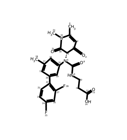 CC1=CC(=O)[C@H](N(C(=O)NCCC(=O)O)c2cc(C)cc(-c3ccc(F)cc3F)c2)C(=O)N1C